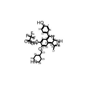 COc1cc2c(-c3ccc(O)cc3)nc3[nH]nc(C)c3c2cc1OCC1CCNCC1.O=C(O)C(F)(F)F